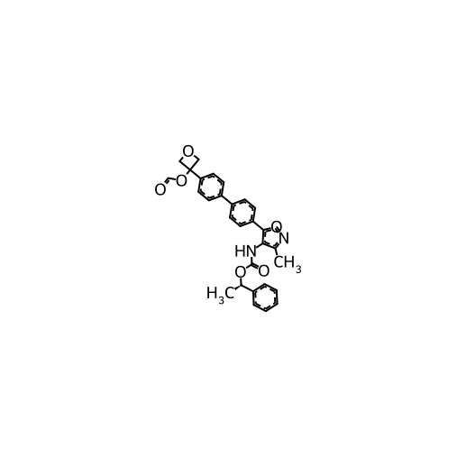 Cc1noc(-c2ccc(-c3ccc(C4(OC=O)COC4)cc3)cc2)c1NC(=O)O[C@H](C)c1ccccc1